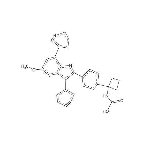 COc1cc(-c2cccnc2)c2nc(-c3ccc(C4(NC(=O)O)CCC4)cc3)c(-c3ccccc3)n2n1